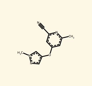 Cc1cc(Oc2cnn(C)c2)cc(C#N)n1